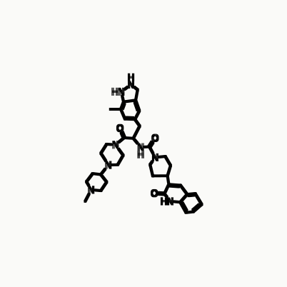 Cc1cc(CC(NC(=O)N2CCC(c3cc4ccccc4[nH]c3=O)CC2)C(=O)N2CCN(C3CCN(C)CC3)CC2)cc2c1NNC2